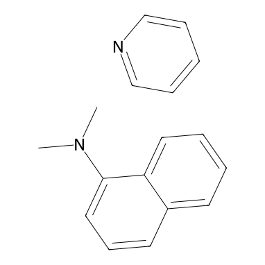 CN(C)c1cccc2ccccc12.c1ccncc1